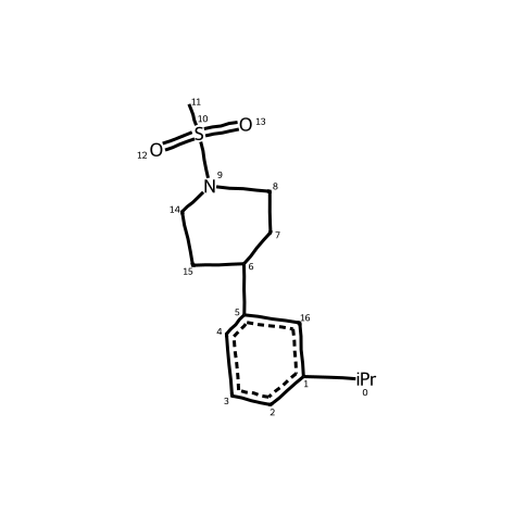 CC(C)c1cccc(C2CCN(S(C)(=O)=O)CC2)c1